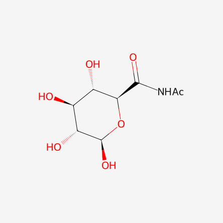 CC(=O)NC(=O)[C@H]1O[C@@H](O)[C@H](O)[C@@H](O)[C@@H]1O